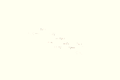 C/C(N)=N/N=C(\N)Nc1ccc(CC(C)N)cn1